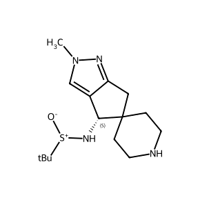 Cn1cc2c(n1)CC1(CCNCC1)[C@@H]2N[S+]([O-])C(C)(C)C